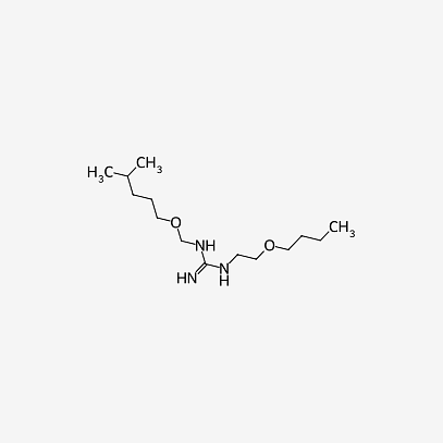 CCCCOCCNC(=N)NCOCCCC(C)C